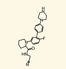 N#CCNC(=O)C1CCCCN1c1ccc(F)c(-c2ccc(N3CCNCC3)cc2)c1